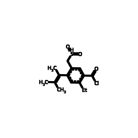 CCc1cc(C(C)=C(C)C)c(C[SH](=O)=O)cc1C(=O)Cl